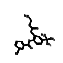 CCOC(=O)Cc1cc(C(C)(C)C)ccc1SC(=O)c1cccc(Cl)c1